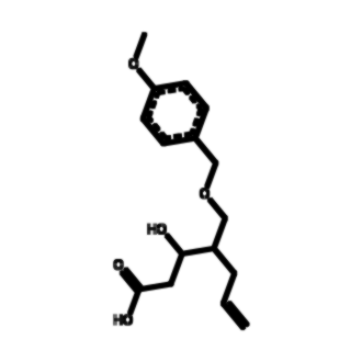 C=CCC(COCc1ccc(OC)cc1)C(O)CC(=O)O